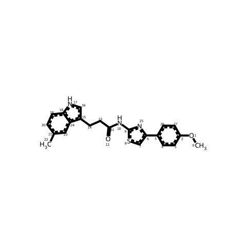 COc1ccc(-c2csc(NC(=O)CCc3c[nH]c4ccc(C)cc34)n2)cc1